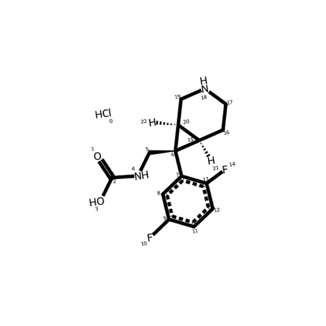 Cl.O=C(O)NC[C@]1(c2cc(F)ccc2F)[C@@H]2CCNC[C@@H]21